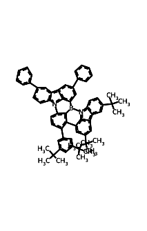 CC(C)(C)c1cc(-c2ccc3c4c2-c2cc(C(C)(C)C)cc5c6cc(C(C)(C)C)ccc6n(c25)B4c2cc(-c4ccccc4)cc4c5cc(-c6ccccc6)ccc5n-3c24)cc(C(C)(C)C)c1